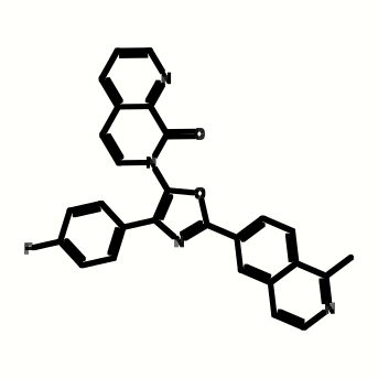 Cc1nccc2cc(-c3nc(-c4ccc(F)cc4)c(-n4ccc5cccnc5c4=O)o3)ccc12